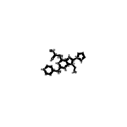 CC(C)Cn1c(-n2cccn2)nc2c(NC(=O)C(C)(C)C)nc(Nc3ccncc3)nc21